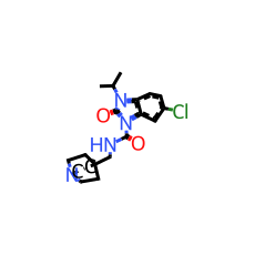 CC(C)n1c(=O)n(C(=O)NCC23CCN(CC2)CC3)c2cc(Cl)ccc21